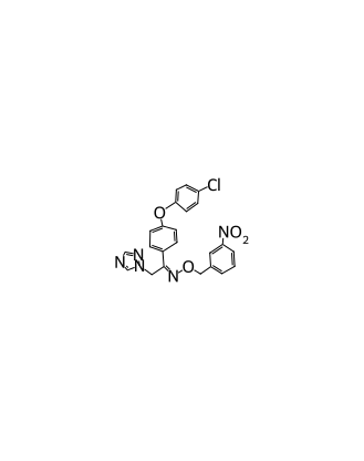 O=[N+]([O-])c1cccc(CON=C(Cn2cncn2)c2ccc(Oc3ccc(Cl)cc3)cc2)c1